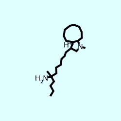 CCCCC(C)(N)CCCCCCC1CN(C)C2CCCCCCCC[C@H]12